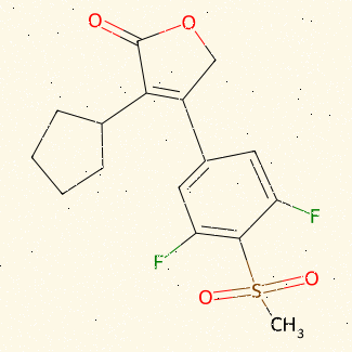 CS(=O)(=O)c1c(F)cc(C2=C(C3CCCC3)C(=O)OC2)cc1F